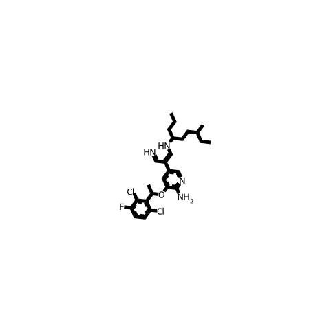 CCCC(CCC(C)CC)N/C=C(\C=N)c1cnc(N)c(OC(C)c2c(Cl)ccc(F)c2Cl)c1